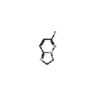 FC1=NN2CCN=C2C=C1